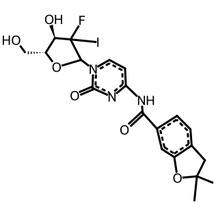 CC1(C)Cc2ccc(C(=O)Nc3ccn(C4O[C@H](CO)[C@@H](O)C4(F)I)c(=O)n3)cc2O1